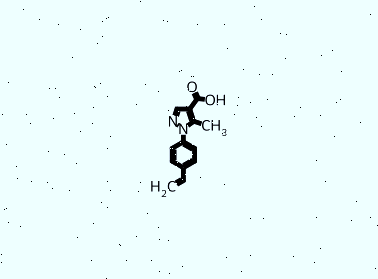 C=Cc1ccc(-n2ncc(C(=O)O)c2C)cc1